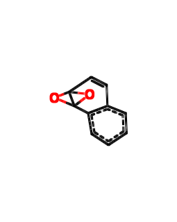 C1=CC23OC2(O3)c2ccccc21